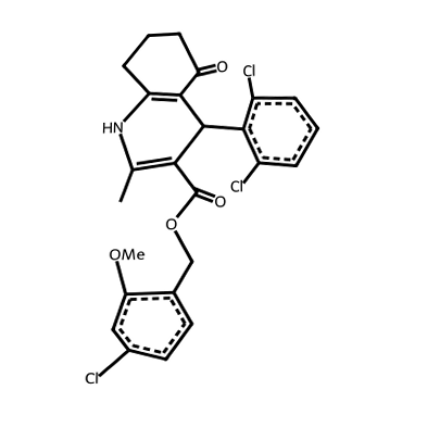 COc1cc(Cl)ccc1COC(=O)C1=C(C)NC2=C(C(=O)CCC2)C1c1c(Cl)cccc1Cl